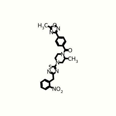 Cc1nc(-c2ccc(C(=O)N3CCN(c4nc(Cc5ccccc5[N+](=O)[O-])ns4)CC3C)cc2)no1